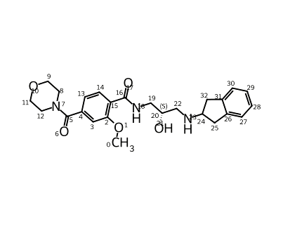 COc1cc(C(=O)N2CCOCC2)ccc1C(=O)NC[C@@H](O)CNC1Cc2ccccc2C1